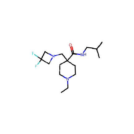 CCN1CCC(CN2CC(F)(F)C2)(C(=O)NCC(C)C)CC1